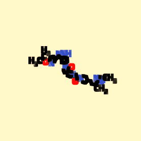 C=C(CCC1CCN(C(=O)CN2CC[C@]3(CCN(c4ccc5[nH]nc(-c6ccc(OC(C)C)nc6)c5c4)C3=O)C2)CC1)c1ncn(C)n1